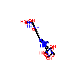 C=C(O)CN1CCN(CC(=O)O)CCN(CC(=O)O)C(Cc2cccc(Nc3nc(N(C)C)nc(N4CCN(CCCCCCCCCCC(=O)NCCCCC(NC(=O)NCC(=O)O)C(=O)O)CC4)n3)c2)CN(CC(=O)O)CC1